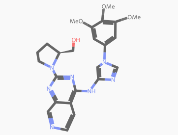 COc1cc(-n2cnc(Nc3nc(N4CCC[C@H]4CO)nc4cnccc34)c2)cc(OC)c1OC